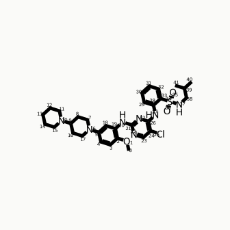 COc1ccc(N2CCC(N3CCCCC3)CC2)cc1Nc1ncc(Cl)c(Nc2ccccc2S(=O)(=O)NCC(C)C)n1